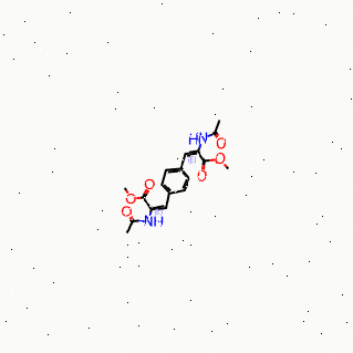 COC(=O)/C(=C\c1ccc(/C=C(/NC(C)=O)C(=O)OC)cc1)NC(C)=O